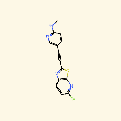 CNc1ccc(C#Cc2nc3ccc(F)nc3s2)cn1